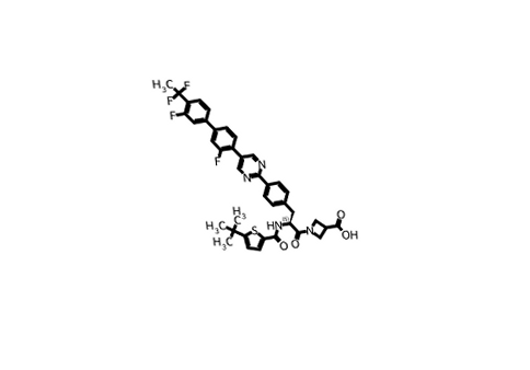 CC(C)(C)c1ccc(C(=O)N[C@@H](Cc2ccc(-c3ncc(-c4ccc(-c5ccc(C(C)(F)F)c(F)c5)cc4F)cn3)cc2)C(=O)N2CC(C(=O)O)C2)s1